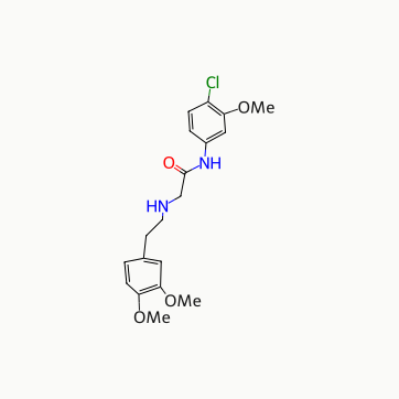 COc1cc(NC(=O)CNCCc2ccc(OC)c(OC)c2)ccc1Cl